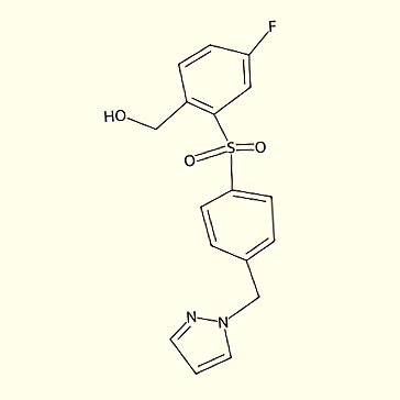 O=S(=O)(c1ccc(Cn2cccn2)cc1)c1cc(F)ccc1CO